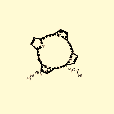 C1=Cc2cc3ccc(cc4nc(cc5ccc(cc1n2)[nH]5)C=C4)[nH]3.I.I.I.I.O.[AlH3]